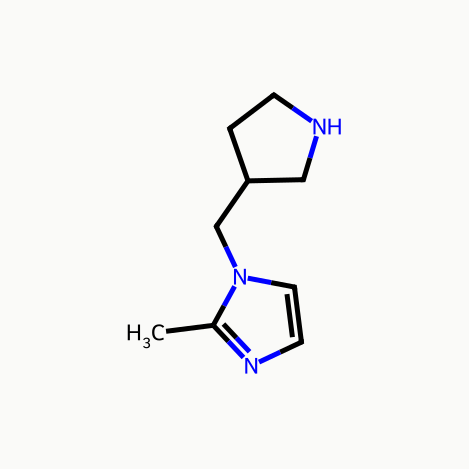 Cc1nccn1CC1CCNC1